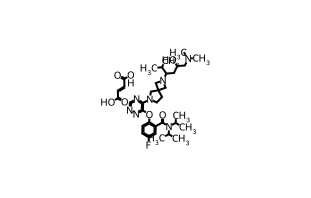 CC(C)C(CC(O)CN(C)C)N1CC2(CCN(c3ncnnc3Oc3ccc(F)cc3C(=O)N(C(C)C)C(C)C)C2)C1.O=C(O)/C=C/C(=O)O